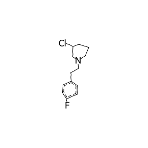 Fc1ccc(CCN2CCCC(Cl)C2)cc1